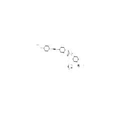 CCCCc1ccc(C#Cc2ccc(CN(Cc3ccc(C(=O)O)cc3)C(=O)CCC3CCCC3)cc2)cc1